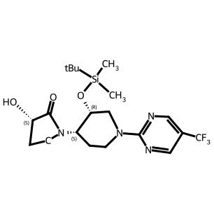 CC(C)(C)[Si](C)(C)O[C@@H]1CN(c2ncc(C(F)(F)F)cn2)CC[C@@H]1N1CC[C@H](O)C1=O